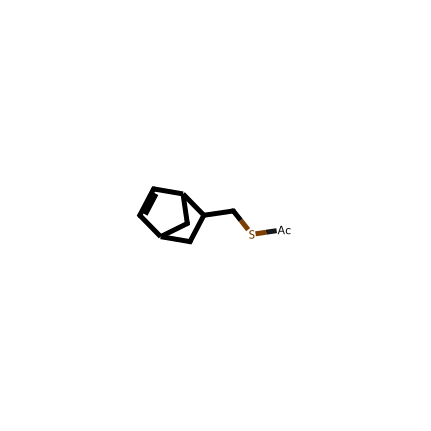 CC(=O)SCC1CC2C=CC1C2